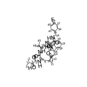 CC(C)[C@H](O)C(=O)N[C@H]1Cc2ccc3c(c2)C2(c4ccccc4NC2O3)c2oc(nc2C(=O)NCc2ccc(F)cc2)[C@H](C(C)C)NC1=O